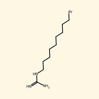 CC(C)CCCCCCCCCNC(=N)N